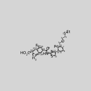 CCSCCOCc1cccc(-c2csc(NC(=O)c3cc(F)c(C=C(C)C(=O)O)c(F)c3)n2)c1F